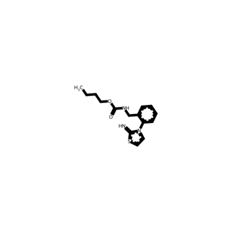 CCCCOC(=O)NCc1ccccc1-n1ccsc1=N